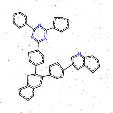 c1ccc(-c2nc(-c3ccccc3)nc(-c3ccc(-c4cc5ccccc5cc4-c4ccc(-c5cnc6ccccc6c5)cc4)cc3)n2)cc1